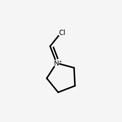 ClC=[N+]1CCCC1